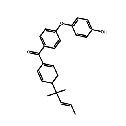 CC=CC(C)(C)C1C=CC(C(=O)c2ccc(Oc3ccc(O)cc3)cc2)=CC1